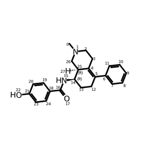 CN1CCC2=C(c3ccccc3)CC[C@@H](NC(=O)c3ccc(O)cc3)[C@H]2C1